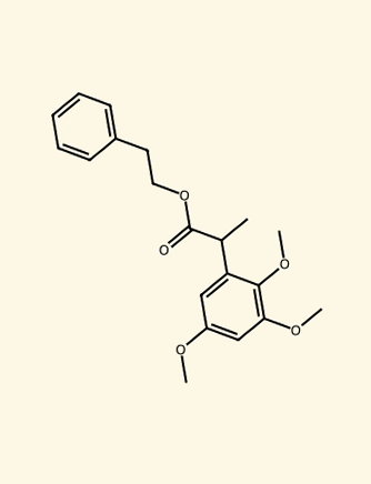 COc1cc(OC)c(OC)c(C(C)C(=O)OCCc2ccccc2)c1